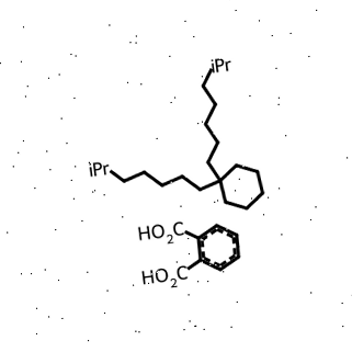 CC(C)CCCCCC1(CCCCCC(C)C)CCCCC1.O=C(O)c1ccccc1C(=O)O